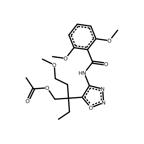 CCC(CCOC)(COC(C)=O)c1onnc1NC(=O)c1c(OC)cccc1OC